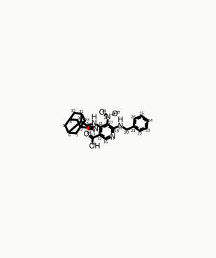 N#CC12CC3CC(C1)C(CNc1c(C(=O)O)cnc(NCc4ccccc4)c1[N+](=O)[O-])C(C3)C2